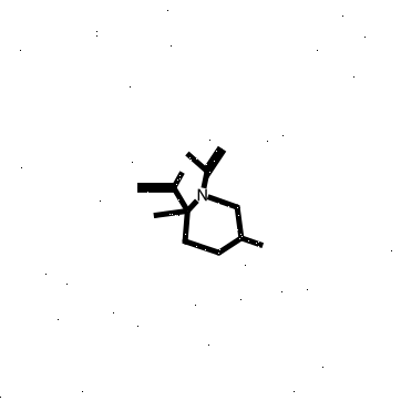 C=C(C)N1CC(C)CCC1(C)C(=C)C